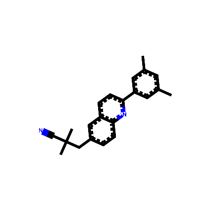 Cc1cc(C)cc(-c2ccc3cc(CC(C)(C)C#N)ccc3n2)c1